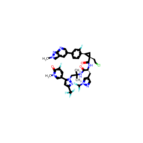 Cn1cc2cc(-c3ccc([C@H]4C[C@]4(CCCl)C(=O)N[C@H](Cc4cnn(C(F)F)c4)C(=O)NC(C)(C)Cn4nc(C(F)(F)F)cc4-c4cc(F)c(=O)n(C)c4)c(F)c3)cnc2n1